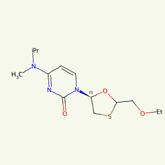 CCOCC1O[C@H](n2ccc(N(C)C(C)C)nc2=O)CS1